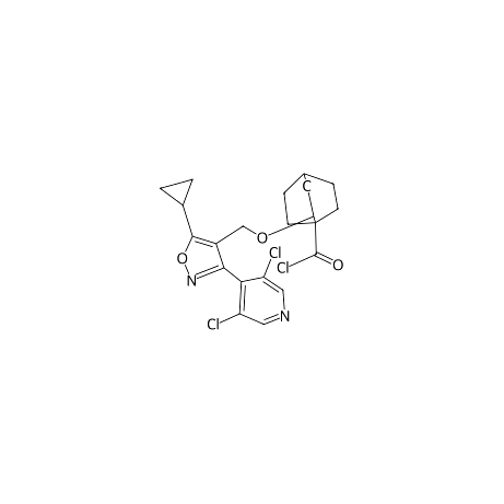 O=C(Cl)C12CCC(CC1)CC2OCc1c(-c2c(Cl)cncc2Cl)noc1C1CC1